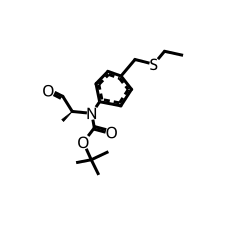 CCSCc1ccc(N(C(=O)OC(C)(C)C)[C@@H](C)C=O)cc1